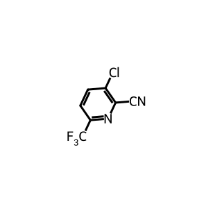 N#Cc1nc(C(F)(F)F)ccc1Cl